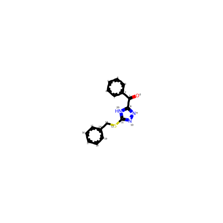 O=C(c1ccccc1)c1nnc(SCc2ccccc2)[nH]1